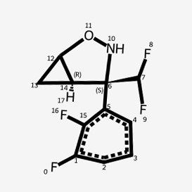 Fc1cccc([C@@]2(C(F)F)NOC3C[C@@H]32)c1F